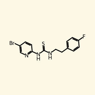 Fc1ccc(CCNC(=S)Nc2ccc(Br)cn2)cc1